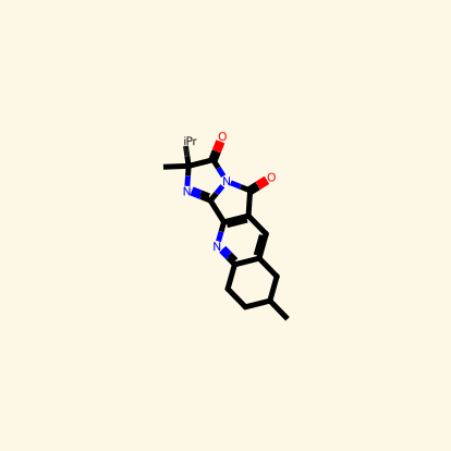 CC1CCc2nc3c(cc2C1)C(=O)N1C(=O)C(C)(C(C)C)N=C31